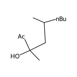 CCCCC(C)CC(C)(O)C(C)=O